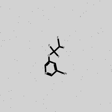 CC(C)c1cncc(OC(F)(F)C(F)F)c1